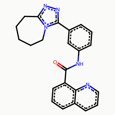 O=C(Nc1cccc(-c2nnc3n2CCCCC3)c1)c1cccc2cccnc12